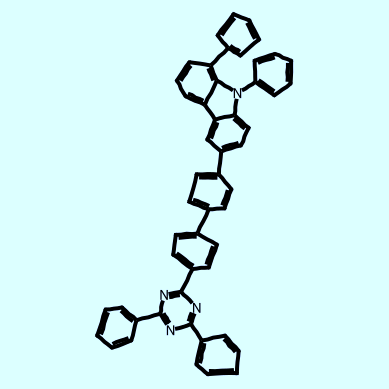 c1ccc(-c2nc(-c3ccccc3)nc(-c3ccc(-c4ccc(-c5ccc6c(c5)c5cccc(-c7ccccc7)c5n6-c5ccccc5)cc4)cc3)n2)cc1